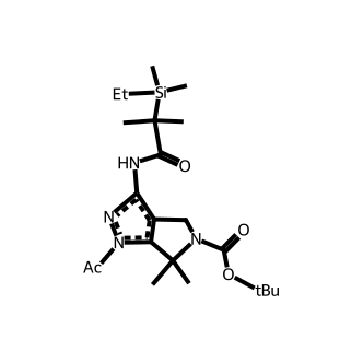 CC[Si](C)(C)C(C)(C)C(=O)Nc1nn(C(C)=O)c2c1CN(C(=O)OC(C)(C)C)C2(C)C